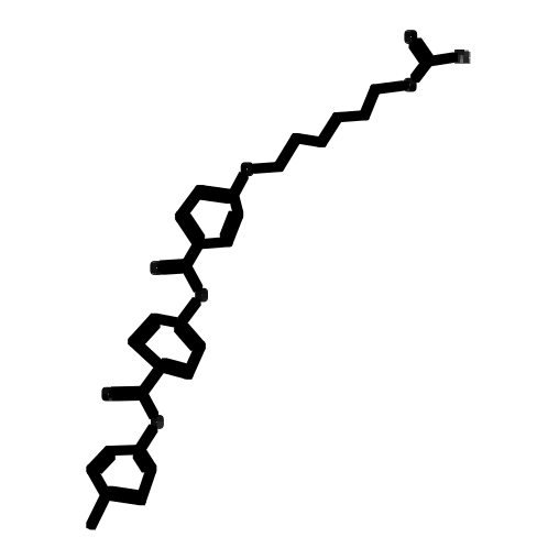 CCC(=O)OCCCCCCOc1ccc(C(=O)Oc2ccc(C(=O)Oc3ccc(C)cc3)cc2)cc1